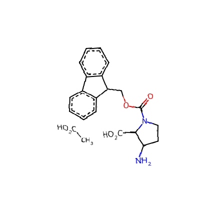 CC(=O)O.NC1CCN(C(=O)OCC2c3ccccc3-c3ccccc32)C1C(=O)O